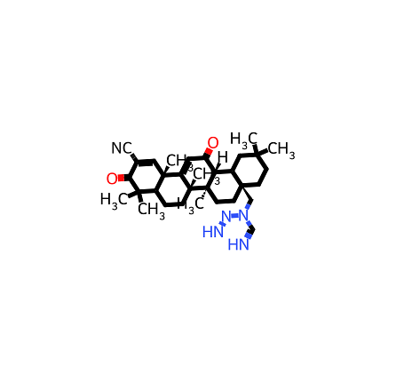 CC1(C)CC[C@]2(CN(C=N)N=N)CC[C@]3(C)[C@H](C(=O)C=C4[C@@]5(C)C=C(C#N)C(=O)C(C)(C)C5CC[C@]43C)C2C1